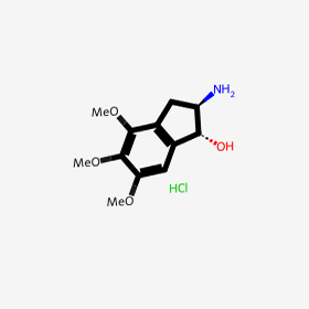 COc1cc2c(c(OC)c1OC)C[C@@H](N)[C@@H]2O.Cl